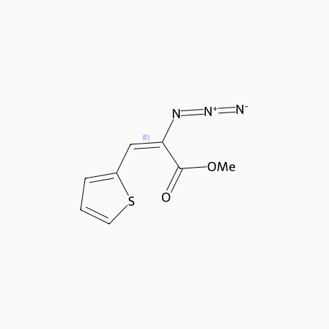 COC(=O)/C(=C\c1cccs1)N=[N+]=[N-]